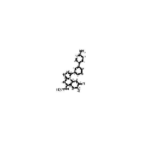 CNc1nc2nnc(-c3cccc(-c4ccc(N)nc4)c3)n2c2cc(Cl)c(F)cc12